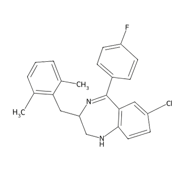 Cc1cccc(C)c1CC1CNc2ccc(Cl)cc2C(c2ccc(F)cc2)=N1